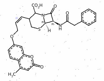 Cc1cc(=O)oc2cc(OC/C=C\C3CS[C@@H]4[C@H](NC(=O)Cc5ccccc5)C(=O)N4C3C(=O)O)ccc12